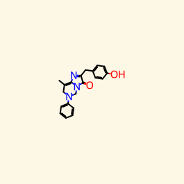 CC1=C2N=C(Cc3ccc(O)cc3)C(=O)N2CN(c2ccccc2)C1